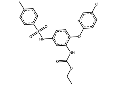 CCOC(=O)Nc1cc(NS(=O)(=O)c2ccc(C)cc2)ccc1Oc1ccc(Cl)cn1